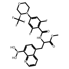 COC(=O)C(Cc1ccc(B(O)O)c2ncccc12)NC(=O)c1c(F)cc(N2CCOC[C@@H]2C(F)(F)F)cc1F